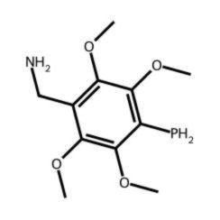 COc1c(P)c(OC)c(OC)c(CN)c1OC